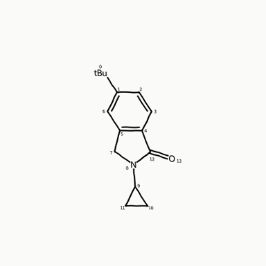 CC(C)(C)c1ccc2c(c1)CN(C1CC1)C2=O